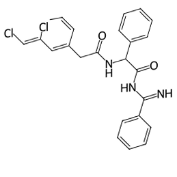 C\C=C/C(=C\C(Cl)=C\Cl)CC(=O)NC(C(=O)NC(=N)c1ccccc1)c1ccccc1